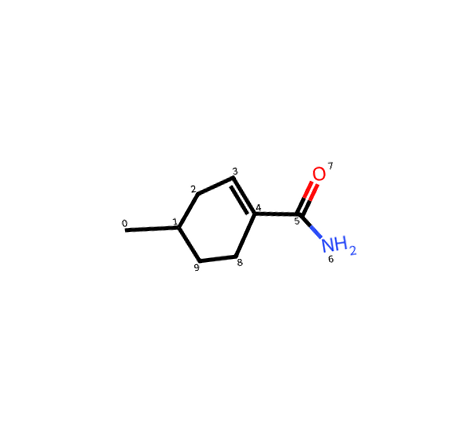 CC1CC=C(C(N)=O)CC1